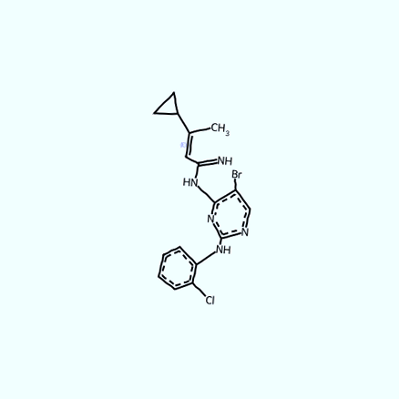 C/C(=C\C(=N)Nc1nc(Nc2ccccc2Cl)ncc1Br)C1CC1